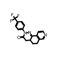 O=C1CC2CCc3cnccc3C2=NN1c1ccc(C(F)(F)F)cc1